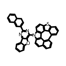 C1=CC2=CC(c3nc(-n4c5ccc6cccc7c6c5c5c6c(ccc54)sc4cccc-7c46)c4oc5ccccc5c4n3)=CCC2C=C1